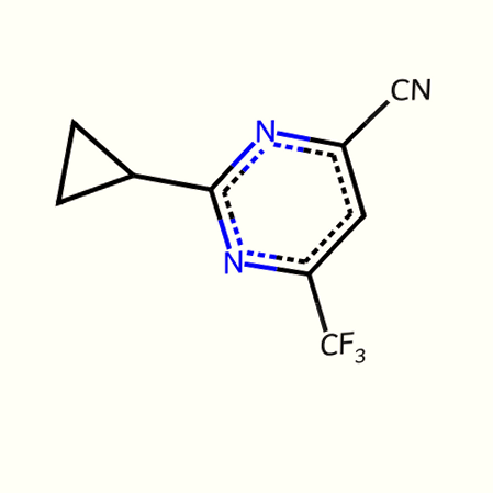 N#Cc1cc(C(F)(F)F)nc(C2CC2)n1